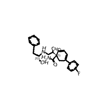 NC(=O)[C@]1(C(C=O)CN[C@H](CO)Cc2ccccc2)C=CC=C(c2ccc(F)cc2)C1